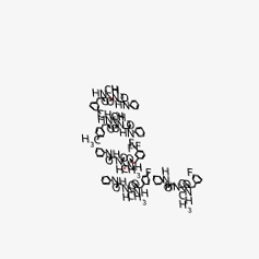 C[C@H](NC(=O)Cc1ccc(F)cc1)C(=O)NCC(=O)Nc1ccccc1.C[C@H](NC(=O)Cc1cccc(C(F)(F)F)c1)C(=O)NCC(=O)Nc1ccccc1.C[C@H](NC(=O)Cc1cccc(F)c1)C(=O)NCC(=O)Nc1ccccc1.Cc1ccc(CC(=O)N[C@@H](C)C(=O)NCC(=O)Nc2ccccc2)cc1.Cc1cccc(CC(=O)N[C@@H](C)C(=O)NCC(=O)Nc2ccccc2)c1